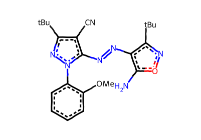 COc1ccccc1-n1nc(C(C)(C)C)c(C#N)c1/N=N/c1c(C(C)(C)C)noc1N